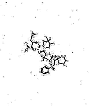 CC1CN(C(=O)[C@@H](NC(=O)NC2(CCS(=O)(=O)c3ccccc3)CCCCC2)C(C)(C)C)[C@H](C(=O)NC(CC2CC2)C(=O)C(N)=O)CC1(C)C